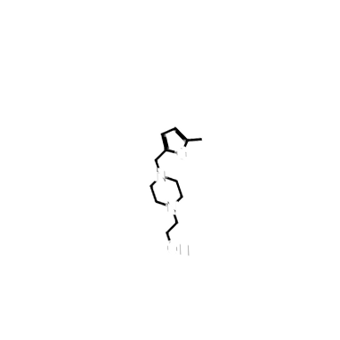 Cc1ccc(CN2CCN(CCO)CC2)o1